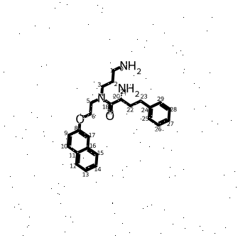 NCCCN(CCOc1ccc2ccccc2c1)C(=O)[C@H](N)CCc1ccccc1